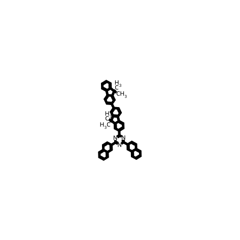 CC1(C)c2ccccc2-c2ccc(-c3ccc4c(c3)C(C)(C)c3cc(-c5nc(-c6ccc7ccccc7c6)nc(-c6ccc7ccccc7c6)n5)ccc3-4)cc21